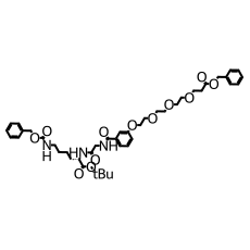 CC(C)(C)OC(=O)[C@H](CCCCNC(=O)OCc1ccccc1)NC(=O)CNC(=O)c1cccc(OCCOCCOCCOCCC(=O)OCc2ccccc2)c1